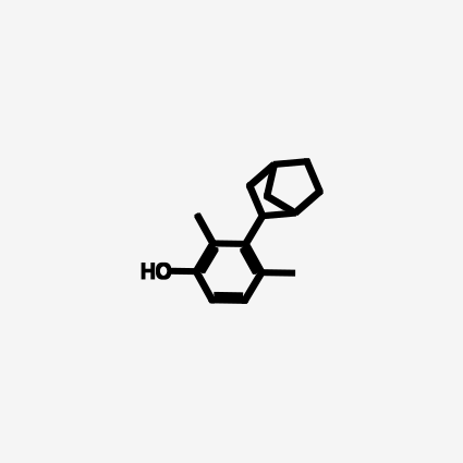 Cc1ccc(O)c(C)c1C1CC2CCC1C2